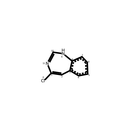 ClC1=Cc2ccccc2NC=N1